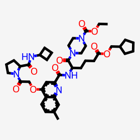 CCOC(=O)N1CCN(C(=O)C(CCCC(=O)OCC2CCCC2)NC(=O)c2cc(OCC(=O)N3CCCC3C(=O)NC3CCC3)c3ccc(C)cc3n2)CC1